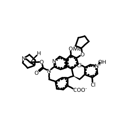 COc1ccc([C@@H](Cc2c(Cl)c[n+](O)cc2Cl)c2cc(CN(C(=O)O[C@H]3CN4CCC3CC4)c3ccccn3)ccc2C(=O)[O-])cc1OC1CCCC1